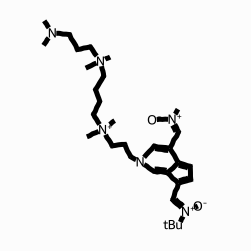 CN(C)CCC[N+](C)(C)CCCC[N+](C)(C)CCCn1cc(/C=[N+](/C)[O-])c2ccc(/C=[N+](\[O-])C(C)(C)C)c-2c1